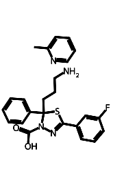 Cc1ccccn1.NCCCC1(c2ccccc2)SC(c2cccc(F)c2)=NN1C(=O)O